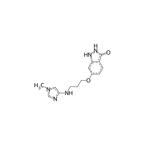 Cn1cnc(NCCCOc2ccc3c(=O)[nH][nH]c3c2)c1